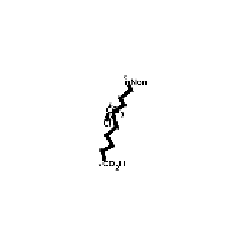 CCCCCCCCCCCCCCCCCC(=O)O.ClC(Cl)(Cl)Cl